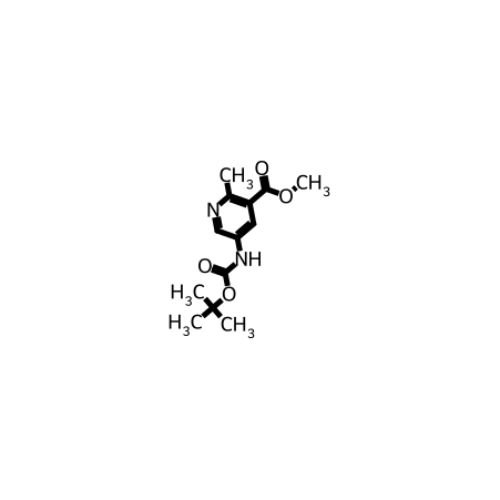 COC(=O)c1cc(NC(=O)OC(C)(C)C)cnc1C